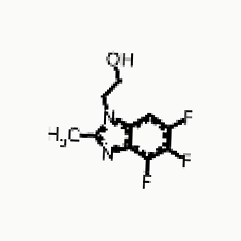 Cc1nc2c(F)c(F)c(F)cc2n1CCO